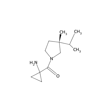 CC(C)[C@@]1(C)CCN(C(=O)C2(N)CC2)C1